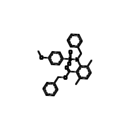 COc1ccc(S(=O)(=O)N(Cc2ccccc2)c2c(C)ccc(C)c2C(=O)OCc2ccccc2)cc1